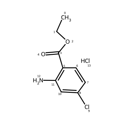 CCOC(=O)c1ccc(Cl)cc1N.Cl